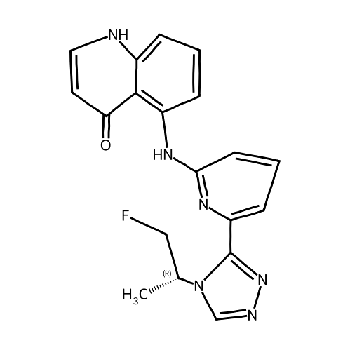 C[C@H](CF)n1cnnc1-c1cccc(Nc2cccc3[nH]ccc(=O)c23)n1